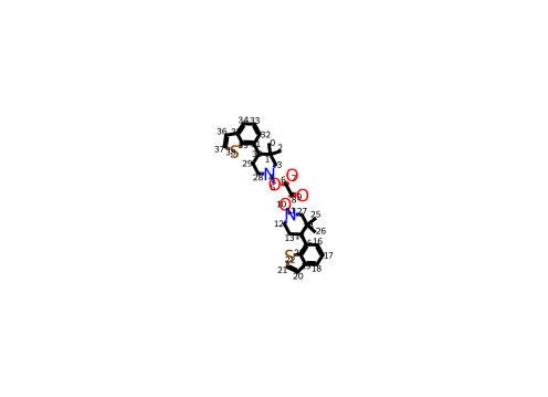 CC1(C)CN(OC(=O)C(=O)ON2CCC(c3cccc4ccsc34)C(C)(C)C2)CCC1c1cccc2ccsc12